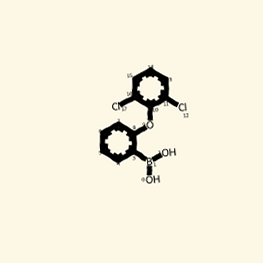 OB(O)c1ccccc1Oc1c(Cl)cccc1Cl